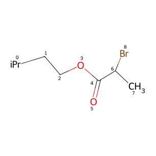 CC(C)CCOC(=O)C(C)Br